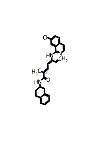 C=C/C(=C\C=C(/C)C(=O)NC1CCc2ccccc2C1)Nc1nccc2ccc(Cl)cc12